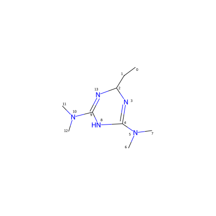 CCC1N=C(N(C)C)NC(N(C)C)=N1